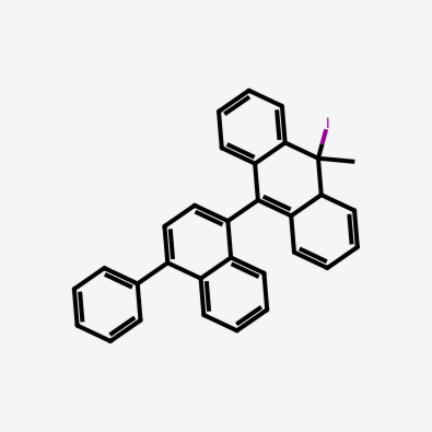 CC1(I)c2ccccc2C(c2ccc(-c3ccccc3)c3ccccc23)=C2C=CC=CC21